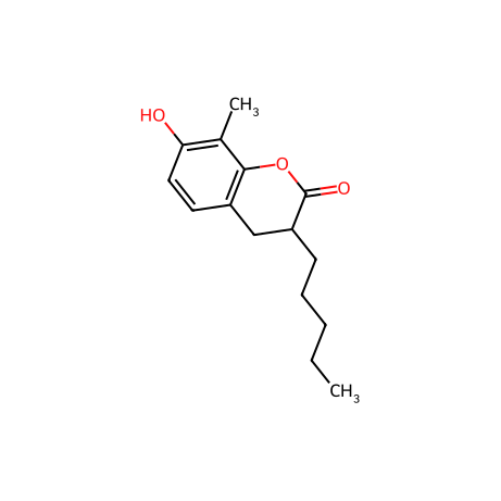 CCCCCC1Cc2ccc(O)c(C)c2OC1=O